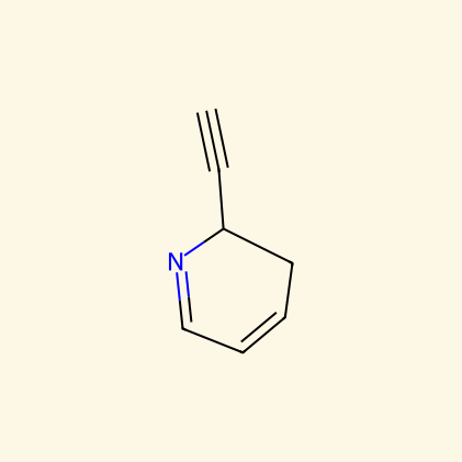 C#CC1CC=CC=N1